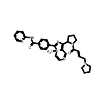 C[N+]12C=CN=CC1=C(C1CCCN1C(=O)/C=C/CN1CCCC1)N=C2c1ccc(C(=O)Nc2ccccn2)cc1